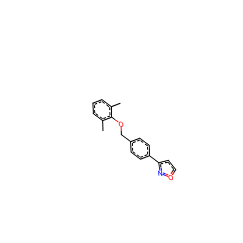 Cc1cccc(C)c1OCc1ccc(-c2ccon2)cc1